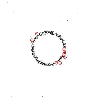 O=C1C=CC(=O)CCCCCCCCCCCCCCCOOOC(=O)C=CC(=O)OCCCCCCCCCCCCCCCCC1